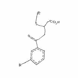 CC(C)SC(CC(=O)c1cccc(Br)c1)C(=O)O